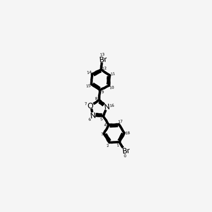 Brc1ccc(-c2noc(-c3ccc(Br)cc3)n2)cc1